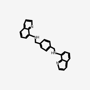 c1cnc2c(NCc3ccc(CNc4cccc5cccnc45)cc3)cccc2c1